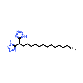 CCCCCCCCCCCCCC(c1nnn[nH]1)c1nnn[nH]1